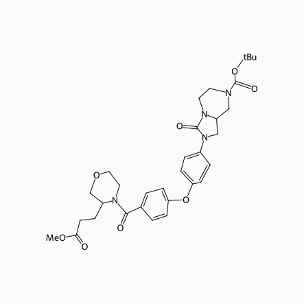 COC(=O)CCC1COCCN1C(=O)c1ccc(Oc2ccc(N3CC4CN(C(=O)OC(C)(C)C)CCN4C3=O)cc2)cc1